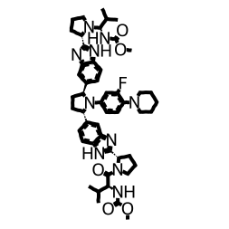 COC(=O)N[C@H](C(=O)N1CCC[C@H]1c1nc2cc([C@@H]3CC[C@@H](c4ccc5[nH]c([C@@H]6CCCN6[C@@H](NC(=O)OC)C(C)C)nc5c4)N3c3ccc(N4CCCCC4)c(F)c3)ccc2[nH]1)C(C)C